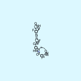 Cc1cc2cc(n1)-c1cnn(C)c1OCCC[C@@H](C)CN1/C(=N/C2=O)Nc2ccc(C(=O)N(C)[C@H]3CCN(C4CN(c5cc(F)c([C@H]6CCC(=O)NC6=O)c(F)c5)C4)CC3(F)F)cc21